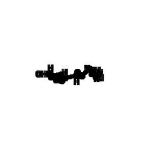 CC(CCC(=O)NC=O)N1C(=O)c2cccc(NCCCCCCNC(=O)c3cccc(C#Cc4cc(NC(=O)Nc5ccnc(Cl)c5)ccn4)c3)c2C1=O